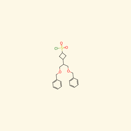 O=S(=O)(Cl)C1CC(C(COCc2ccccc2)COCc2ccccc2)C1